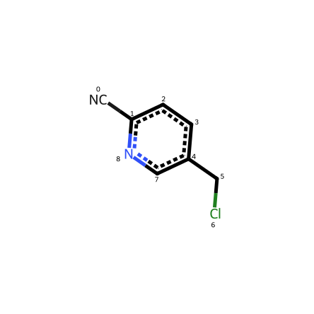 N#Cc1ccc(CCl)cn1